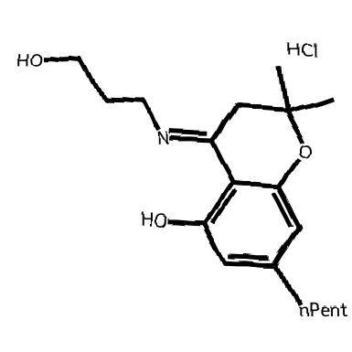 CCCCCc1cc(O)c2c(c1)OC(C)(C)CC2=NCCCO.Cl